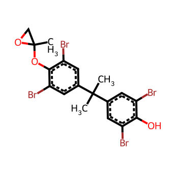 CC1(Oc2c(Br)cc(C(C)(C)c3cc(Br)c(O)c(Br)c3)cc2Br)CO1